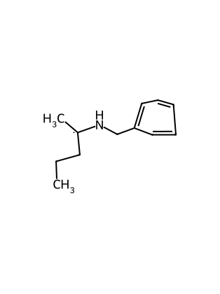 CCC[C](C)NCc1ccccc1